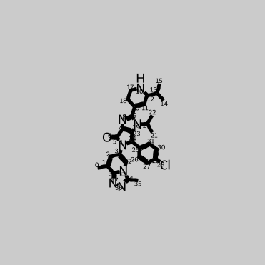 Cc1cc(N2C(=O)c3nc(C4=CC(C(C)C)NCC4)n(C(C)C)c3C2c2ccc(Cl)cc2)cn2c(C)nnc12